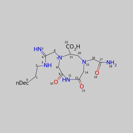 CCCCCCCCCCCCNC(=N)CN1CC(=O)NC(=O)CN(CC(N)=O)CC1C(=O)O